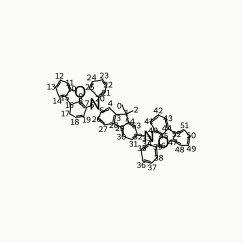 CC1(C)c2cc(N(C3=C4Oc5ccccc5C4CC=C3)c3ccccc3)ccc2-c2ccc(N(c3ccccc3)c3cccc4c3oc3ccccc34)cc21